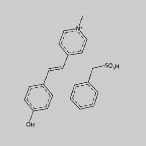 C[n+]1ccc(C=Cc2ccc(O)cc2)cc1.O=S(=O)(O)Cc1ccccc1